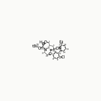 C=CCC[C@@](O)(c1cccc(Cl)c1-c1cccc(CC)c1)[C@H]1CN(C(=O)OC(C)(C)C)CCO1